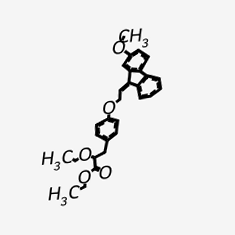 CCOC(=O)C(Cc1ccc(OC/C=C2\c3ccccc3-c3ccc(OC)cc32)cc1)OCC